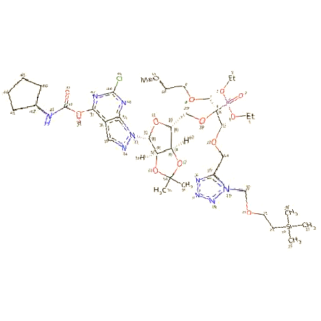 CCOP(=O)(OCC)[C@@](COCCOC)(COCc1nnnn1COCC[Si](C)(C)C)OC[C@H]1O[C@@H](n2ncc3c(OC(=O)NC4CCCC4)nc(Cl)nc32)[C@@H]2OC(C)(C)O[C@@H]21